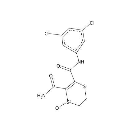 NC(=O)C1=C(C(=O)Nc2cc(Cl)cc(Cl)c2)SCC[S+]1[O-]